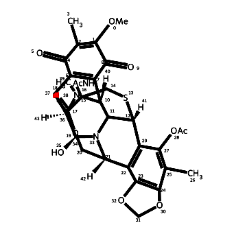 COC1=C(C)C(=O)C2=C(C1=O)[C@@H]1C3[C@@H]4SCC(NC(C)=O)C(=O)OC[C@@H](c5c6c(c(C)c(OC(C)=O)c54)OCO6)N3[C@@H](O)[C@@H](C2)N1C